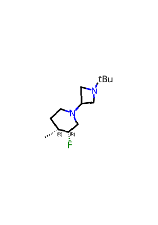 C[C@@H]1CCN(C2CN(C(C)(C)C)C2)C[C@@H]1F